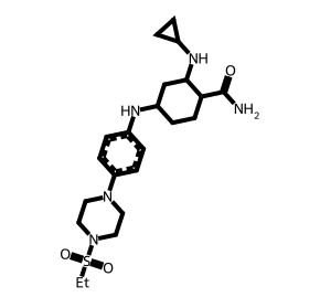 CCS(=O)(=O)N1CCN(c2ccc(NC3CCC(C(N)=O)C(NC4CC4)C3)cc2)CC1